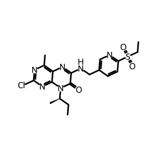 CC[C@@H](C)n1c(=O)c(NCc2ccc(S(=O)(=O)CC)nc2)nc2c(C)nc(Cl)nc21